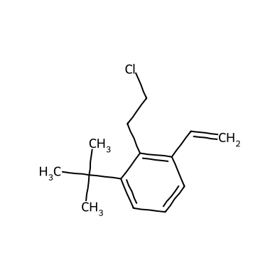 C=Cc1cccc(C(C)(C)C)c1CCCl